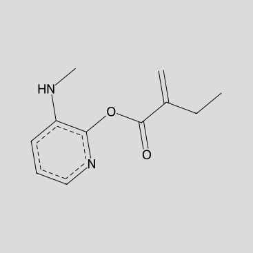 C=C(CC)C(=O)Oc1ncccc1NC